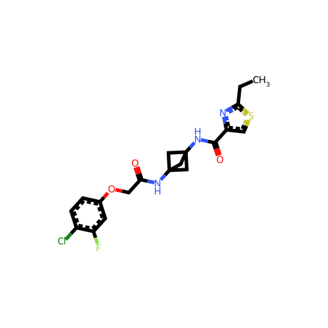 CCc1nc(C(=O)NC23CC(NC(=O)COc4ccc(Cl)c(F)c4)(C2)C3)cs1